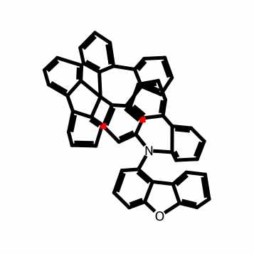 c1ccc(-c2ccccc2N(c2ccc3c(c2)-c2ccccc2-c2ccccc2C32c3ccccc3-c3ccccc32)c2cccc3oc4ccccc4c23)cc1